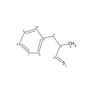 CC([C]=S)Cc1ccccc1